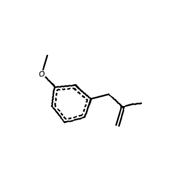 C=C(C)Cc1cccc(OC)c1